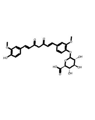 COc1cc(/C=C/C(=O)CC(=O)/C=C/c2ccc(OC3O[C@H](C(=O)O)[C@@H](O)[C@H](O)[C@H]3O)c(OC)c2)ccc1O